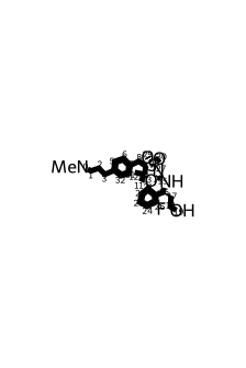 CNCCCc1ccc(CC2C(C)(C)OC(N[C@@H](CCO)c3ccccc3F)=NS2(=O)=O)cc1